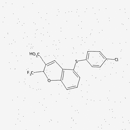 O=C(O)C1=Cc2c(cccc2Sc2ccc(Cl)cc2)OC1C(F)(F)F